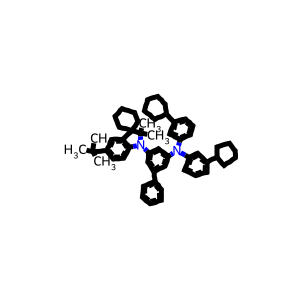 CC(C)(C)c1ccc2c(c1)C1(CCCCC1)C(C)(C)N2c1cc(-c2ccccc2)cc(N(c2cccc(C3CCCCC3)c2)c2cccc(C3CCCCC3)c2)c1